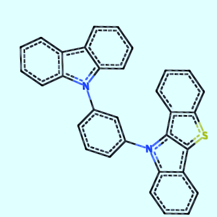 c1cc(-n2c3ccccc3c3ccccc32)cc(-n2c3ccccc3c3sc4ccccc4c32)c1